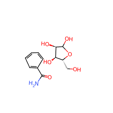 NC(=O)c1ccccc1.OC[C@H]1OC(O)[C@H](O)[C@@H]1O